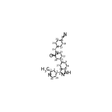 Cc1cc(-c2n[nH]c3ccc(-c4ccn(Cc5ccc(C#N)cc5)c(=O)c4)cc23)ccn1